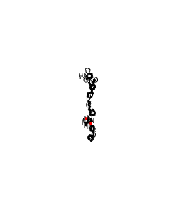 Nc1ncnc2c1c(-c1ccc(Oc3ccccc3)cc1)nn2C1CCCN(CCOCCN2CCC(c3ccc4c(c3)CN(C3CCC(=O)NC3=O)C4=O)CC2)C1